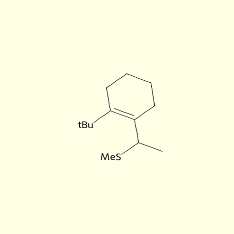 CSC(C)C1=C(C(C)(C)C)CCCC1